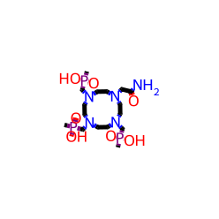 CP(=O)(O)CN1CCN(CC(N)=O)CCN(CP(C)(=O)O)CCN(CP(C)(=O)O)CC1